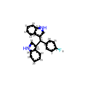 Fc1ccc(C(c2c[nH]c3ccccc23)c2c[nH]c3ccccc23)cc1